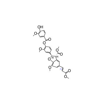 COC(=O)/C=C/c1cc(OC)c2c(c1)[C@@H](C(=O)OC)[C@H](c1ccc(OC(=O)c3ccc(O)c(OC)c3)c(OC)c1)O2